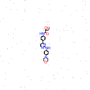 CC[C@](C)(O)C(=O)Nc1ccc(-c2ccnc(Nc3ccc(N4CCOCC4)cc3)n2)cc1